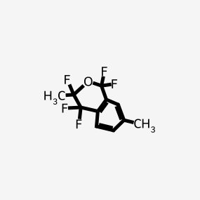 Cc1ccc2c(c1)C(F)(F)OC(C)(F)C2(F)F